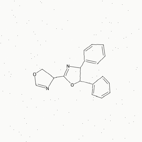 C1=NC(C2=NC(c3ccccc3)C(c3ccccc3)O2)CO1